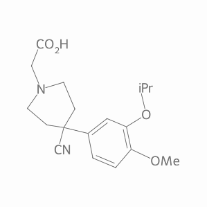 COc1ccc(C2(C#N)CCN(CC(=O)O)CC2)cc1OC(C)C